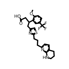 COc1ccc(C(F)(F)F)cc1C(CC(=O)O)Cc1csc(CCCc2ccc3c(n2)NCCC3)n1